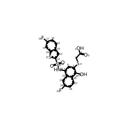 O=C(O)CSc1cc(NS(=O)(=O)c2cc3ccc(F)cc3s2)c2cc(F)ccc2c1O